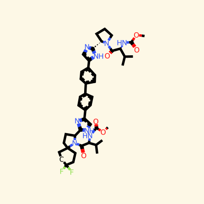 COC(=O)NC(C(=O)N1C(c2nc(-c3ccc(-c4ccc(-c5cnc([C@@H]6CCCN6C(=O)[C@@H](NC(=O)OC)C(C)C)[nH]5)cc4)cc3)c[nH]2)CCC12CCC(F)(F)CC2)C(C)C